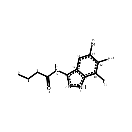 CCCC(=O)Nc1n[nH]c2c(F)c(F)c(Br)cc12